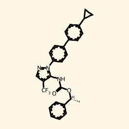 C[C@@H](OC(=O)Nc1c(C(F)(F)F)cnn1-c1ccc(-c2ccc(C3CC3)cc2)cc1)c1ccccc1